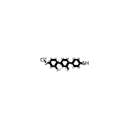 Cc1cc(-c2ccc(SCl)cc2I)ccc1-c1ccc(S)cc1